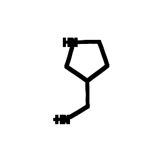 [NH]CC1CCNC1